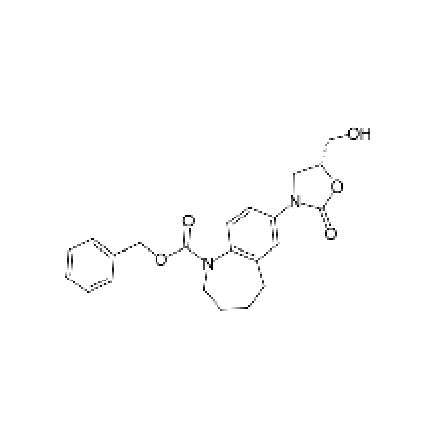 O=C1O[C@@H](CO)CN1c1ccc2c(c1)CCCCN2C(=O)OCc1ccccc1